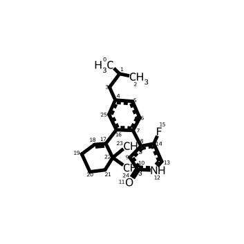 CC(C)Cc1ccc(-c2cc(=O)[nH]cc2F)c(C2=CCCCC2(C)C)c1